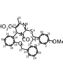 COc1ccc(CSC2=NC(C)=C(C(=O)O)C(c3ccccc3OCc3ccccc3)N2C(=O)O)cc1